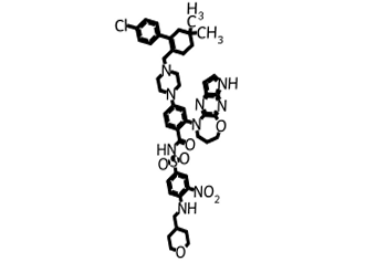 CC1(C)CCC(CN2CCN(c3ccc(C(=O)NS(=O)(=O)c4ccc(NCC5CCOCC5)c([N+](=O)[O-])c4)c(N4CCCOc5nc6[nH]ccc6nc54)c3)CC2)=C(c2ccc(Cl)cc2)C1